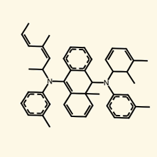 C/C=C\C(C)=C/C(C)N(C1=C2C=CC=CC2(C)C(N(c2cccc(C)c2)C2C=CC=C(C)C2C)c2ccccc21)c1cccc(C)c1